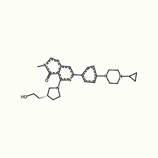 Cn1cnc2cc(-c3ccc(N4CCN(C5CC5)CC4)cc3)nc(N3CC[C@H](CCO)C3)c2c1=O